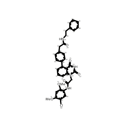 COc1cc(OC)c(NC(=O)Cn2c(=O)[nH]c(=O)c3c(-c4ccc(CC(=O)NCCc5ccccc5)cc4)cccc32)cc1Cl